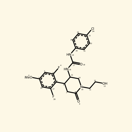 COc1cc(F)c(C2CC(=O)N(CCO)CC2NC(=O)Nc2ccc(Cl)cc2)c(F)c1